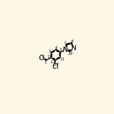 O=Cc1ccc(-n2ccnc2)cc1Cl